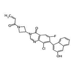 C=CC(=O)N1CC(n2cnc3c(Cl)c(-c4cc(O)cc5ccccc45)c(F)cc3c2=O)C1